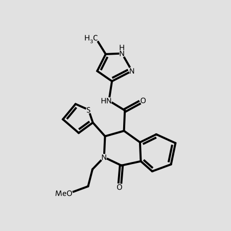 COCCN1C(=O)c2ccccc2C(C(=O)Nc2cc(C)[nH]n2)C1c1cccs1